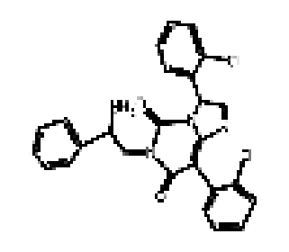 NC(Cn1c(=O)c(-c2ccccc2Cl)c2n(c1=O)C(c1ccccc1Cl)CS2)c1ccccc1